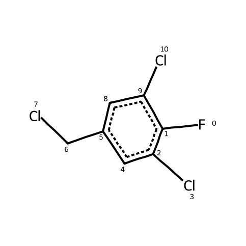 Fc1c(Cl)cc(CCl)cc1Cl